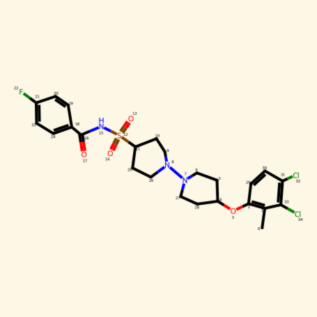 Cc1c(OC2CCN(N3CCC(S(=O)(=O)NC(=O)c4ccc(F)cc4)CC3)CC2)ccc(Cl)c1Cl